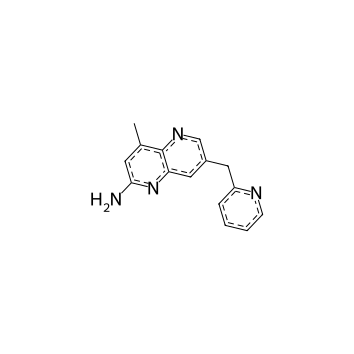 Cc1cc(N)nc2cc(Cc3ccccn3)cnc12